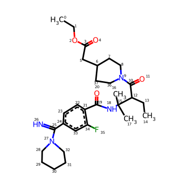 CCOC(=O)CC1CCN(C(=O)C(CC)C(C)(C)NC(=O)c2ccc(C(=N)N3CCCCC3)cc2F)CC1